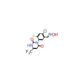 O=c1cc(C(F)(F)F)[nH]c(=O)n1-c1cc(/C=N/O)c(Cl)cc1F